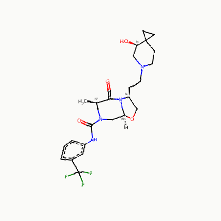 C[C@H]1C(=O)N2[C@@H](CCN3CCC4(CC4)[C@H](O)C3)CO[C@H]2CN1C(=O)Nc1cccc(C(F)(F)F)c1